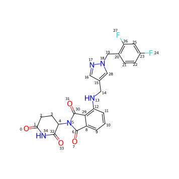 O=C1CCC(N2C(=O)c3cccc(NCc4cnn(Cc5ccc(F)cc5F)c4)c3C2=O)C(=O)N1